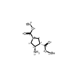 CC(C)(C)OC(=O)[C@H]1CN(C(=O)OC(C)(C)C)C[C@@H]1N